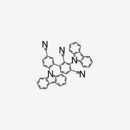 N#Cc1ccc(-n2c3ccccc3c3ccccc32)c(-c2ccc(C#N)c(-n3c4ccccc4c4ccccc43)c2C#N)c1